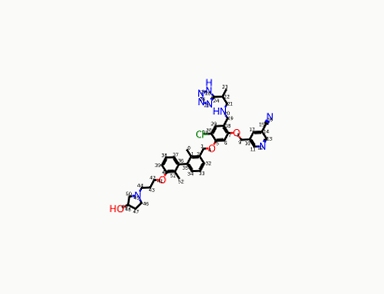 Cc1c(COc2cc(OCc3cncc(C#N)c3)c(CNCC(C)c3nnn[nH]3)cc2Cl)cccc1-c1cccc(OCCCN2CCC(O)C2)c1C